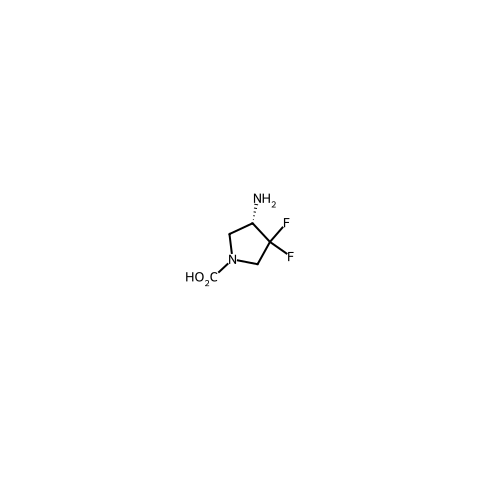 N[C@H]1CN(C(=O)O)CC1(F)F